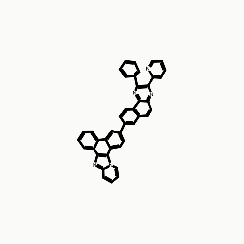 c1ccc(-c2nc3c(ccc4cc(-c5ccc6c(c5)c5ccccc5c5nc7ccccn7c65)ccc43)nc2-c2ccccn2)cc1